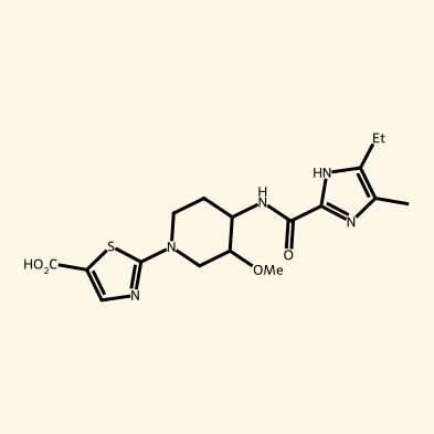 CCc1[nH]c(C(=O)NC2CCN(c3ncc(C(=O)O)s3)CC2OC)nc1C